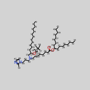 CCCCCCCCCCCCC(CN(CCCCCCCC(=O)OC(CCCCCCCC)CCCCCCCC)CCCn1ccnc1C)O[Si](C)(C)C(C)(C)C